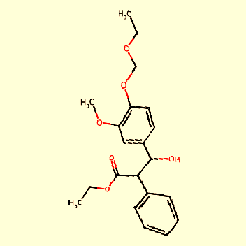 CCOCOc1ccc(C(O)C(C(=O)OCC)c2ccccc2)cc1OC